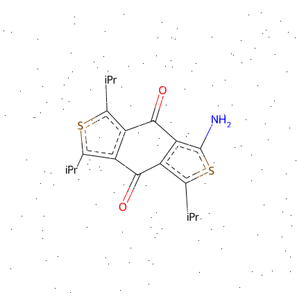 CC(C)c1sc(N)c2c1C(=O)c1c(C(C)C)sc(C(C)C)c1C2=O